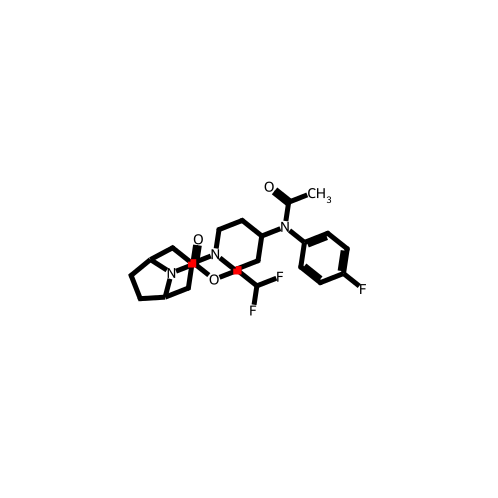 CC(=O)N(c1ccc(F)cc1)C1CCN(C2CC3CCC(C2)N3C(=O)OCC(F)F)CC1